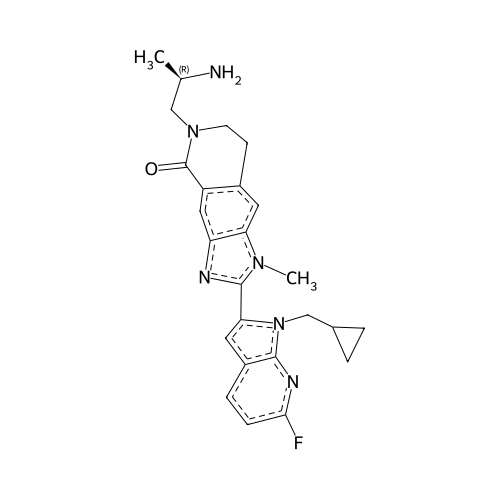 C[C@@H](N)CN1CCc2cc3c(cc2C1=O)nc(-c1cc2ccc(F)nc2n1CC1CC1)n3C